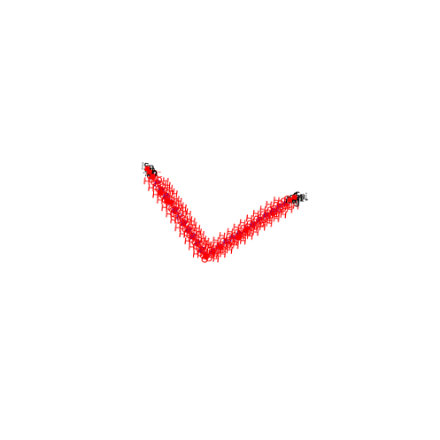 O=P(O)(O)O.O=P(O)(O)O.O=P(O)(O)O.O=P(O)(O)O.O=P(O)(O)O.O=P(O)(O)O.O=P(O)(O)O.O=P(O)(O)O.O=P(O)(O)O.O=P(O)(O)O.O=P(O)(O)O.O=P(O)(O)O.O=P(O)(O)O.O=P(O)(O)O.O=P(O)(O)O.O=P(O)(O)O.O=P(O)(O)O.O=P(O)(O)O.O=P(O)(O)O.O=P(O)(O)O.O=P(O)(O)O.O=P(O)(O)O.O=P(O)(O)O.O=P(O)(O)O.O=P([O-])([O-])[O-].[Mg+2].[Sn].[Sn].[Sn].[Sn].[Sn].[Sn].[Sn].[Sn]